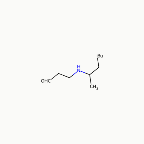 CCC(C)CC(C)NCCC=O